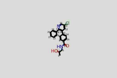 CC(O)CNC(=O)c1ccc(-c2cc(Cl)cnc2-c2ccccc2)cc1